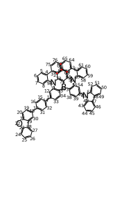 c1ccc(-c2ccccc2N2c3cc(-c4ccc(-c5ccc6oc7ccccc7c6c5)cc4)ccc3B3c4ccc(-n5c6ccccc6c6ccccc65)cc4N(c4ccccc4-c4ccccc4)c4cccc2c43)cc1